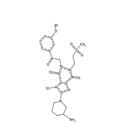 CCn1c(N2CCCC(N)C2)nc2c(=O)n(CCS(C)(=O)=O)n(CC(=O)c3cccc(OC(C)C)c3)c(=O)c21